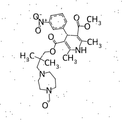 COC(=O)C1=C(C)NC(C)=C(C(=O)OCC(C)(C)CN2CCCN(C=O)CC2)C1c1cccc([N+](=O)[O-])c1